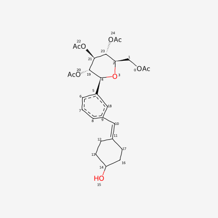 CC(=O)OC[C@H]1O[C@@H](c2cccc(C=C3CCC(O)CC3)c2)[C@H](OC(C)=O)[C@@H](OC(C)=O)[C@@H]1OC(C)=O